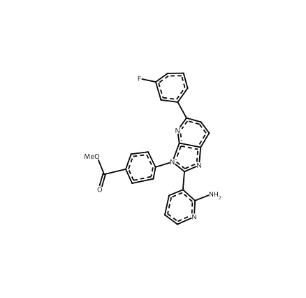 COC(=O)c1ccc(-n2c(-c3cccnc3N)nc3ccc(-c4cccc(F)c4)nc32)cc1